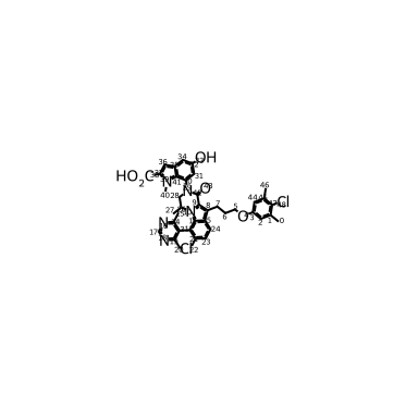 Cc1cc(OCCCc2c3n(c4c(-c5c(C)ncnc5C)c(Cl)ccc24)C(C)CN(c2cc(O)cc4cc(C(=O)O)n(C)c24)C3=O)cc(C)c1Cl